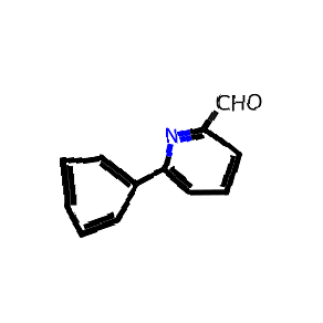 O=Cc1cccc(-c2ccccc2)n1